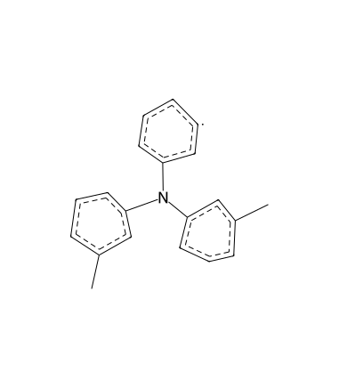 Cc1cccc(N(c2c[c]ccc2)c2cccc(C)c2)c1